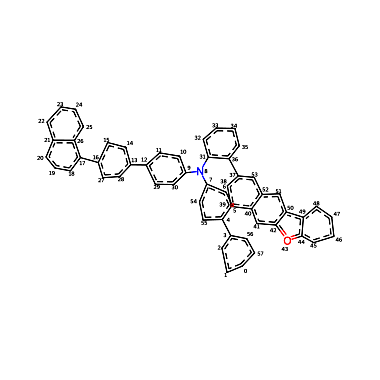 c1ccc(-c2ccc(N(c3ccc(-c4ccc(-c5cccc6ccccc56)cc4)cc3)c3ccccc3-c3ccc4cc5oc6ccccc6c5cc4c3)cc2)cc1